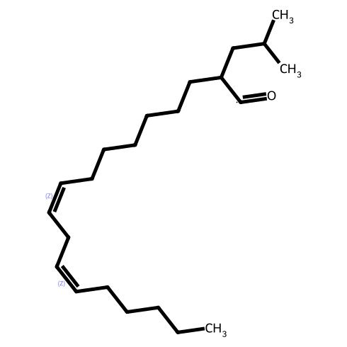 CCCCC/C=C\C/C=C\CCCCCCC([C]=O)CC(C)C